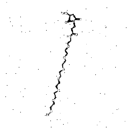 CCOCCOCCOCCOCCOCCOCCOCCNC(=O)CCN1C(=O)CC(SC)C1=O